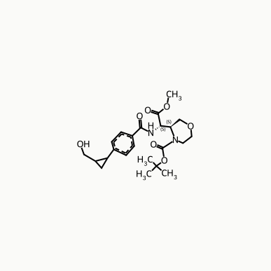 COC(=O)[C@@H](NC(=O)c1ccc(C2CC2CO)cc1)[C@H]1COCCN1C(=O)OC(C)(C)C